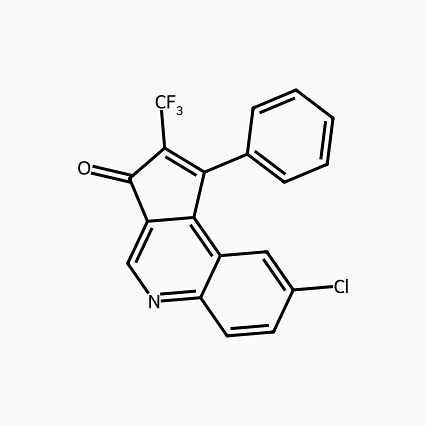 O=C1C(C(F)(F)F)=C(c2ccccc2)c2c1cnc1ccc(Cl)cc21